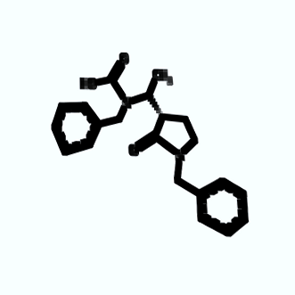 CC([C@@H]1CCN(Cc2ccccc2)C1=O)N(Cc1ccccc1)C(=O)O